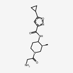 C[C@H]1CN(C(=O)CN)CCC1NC(=O)c1cc(C2CC2)on1